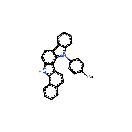 CC(C)(C)c1ccc(-n2c3ccccc3c3ccc4[nH]c5c6ccccc6ccc5c4c32)cc1